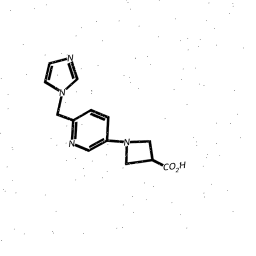 O=C(O)C1CN(c2ccc(Cn3ccnc3)nc2)C1